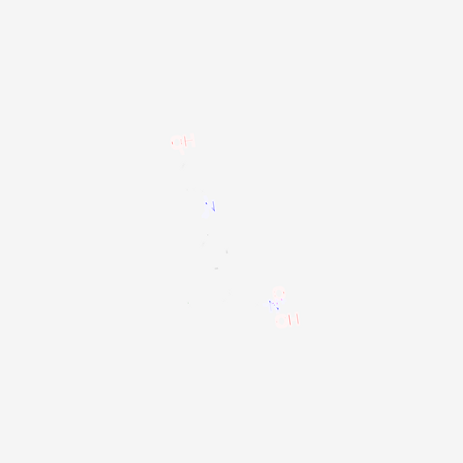 O=[N+](O)c1ccc(Cl)c(-c2ccc(/C=N/c3ccc(O)cc3)cc2)c1